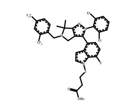 CCc1cccc(CC)c1-n1nc2c(c1-c1ccc(F)c3c1ccn3SCCC(=O)OCC(C)C)CN(Cc1ccc(C(F)(F)F)cc1C(F)(F)F)C2(C)C